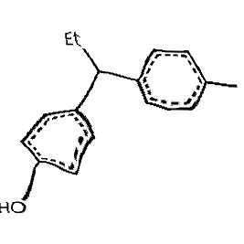 CCC(c1ccc(C)cc1)c1ccc(O)cc1